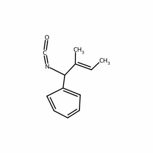 CC=C(C)C(N=C=O)c1ccccc1